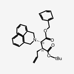 C=CC[C@H](C(=O)OC(C)(C)C)[C@@H](C(=O)OCc1ccccc1)N(Cc1ccccc1)Cc1ccccc1